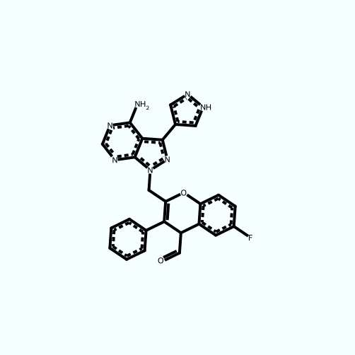 Nc1ncnc2c1c(-c1cn[nH]c1)nn2CC1=C(c2ccccc2)C(C=O)c2cc(F)ccc2O1